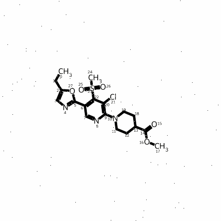 CCc1cnc(-c2cnc(N3CCC(C(=O)OC)CC3)c(Cl)c2S(C)(=O)=O)o1